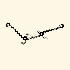 CSc1cc(CCCCCCCCOCCOC2CCCCO2)cc(SC)c1COCOOOCOCc1c(SC)cc(CCCCCCCCOCCOC2CCCCO2)cc1SC